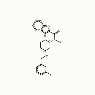 CCN(C(=O)c1nc2ccccc2[nH]1)[C@H]1CCC[C@@H](NCc2cccc(F)c2)C1